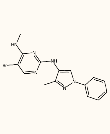 CNc1nc(Nc2cn(-c3ccccc3)nc2C)ncc1Br